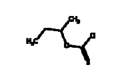 CCC(C)OC(=S)Cl